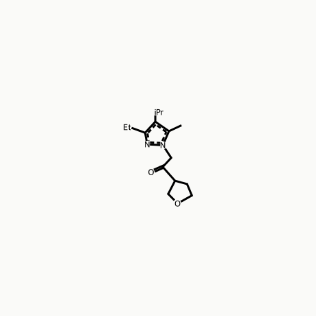 CCc1nn(CC(=O)C2CCOC2)c(C)c1C(C)C